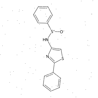 [O-][S+](Nc1csc(-c2ccccc2)n1)c1ccccc1